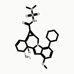 COc1ccc(C2CCCCC2)c2c1cc1n2CC2=C(C(=O)NS(=O)(=O)N(C)C)C2=C2C=CC[C@@H](N)[C@H]21